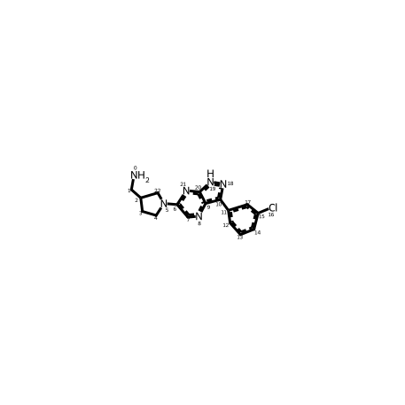 NCC1CCN(c2cnc3c(-c4cccc(Cl)c4)n[nH]c3n2)C1